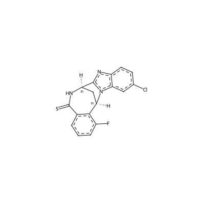 Fc1cccc2c1[C@H]1C[C@@H](NC2=S)c2nc3ccc(Cl)cc3n21